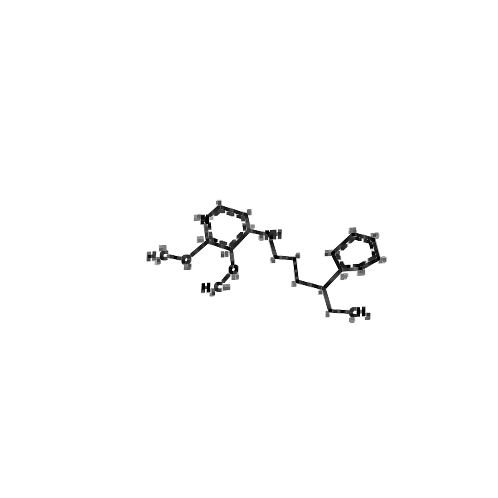 CCC(CCCNc1ccnc(OC)c1OC)c1ccccc1